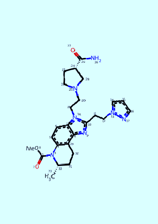 COC(=O)N1c2ccc3c(nc(CCn4cccn4)n3CCN3CC[C@H](C(N)=O)C3)c2CC[C@@H]1C